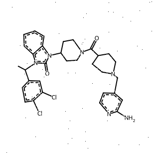 CC(c1ccc(Cl)c(Cl)c1)n1c(=O)n(C2CCN(C(=O)C3CCN(Cc4ccnc(N)c4)CC3)CC2)c2ccccc21